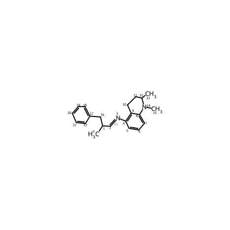 CC(/C=N/c1cccc2c1CCC(C)N2C)Cc1ccccc1